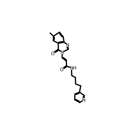 Cc1ccc2ncn(C=CC(=O)NCCCCc3cccnc3)c(=O)c2c1